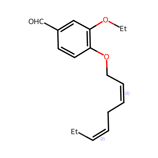 CC/C=C\C/C=C\COc1ccc(C=O)cc1OCC